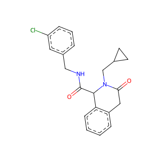 O=C(NCc1cccc(Cl)c1)C1c2ccccc2CC(=O)N1CC1CC1